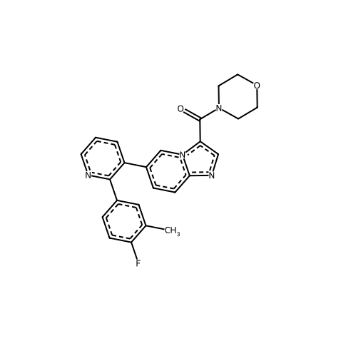 Cc1cc(-c2ncccc2-c2ccc3ncc(C(=O)N4CCOCC4)n3c2)ccc1F